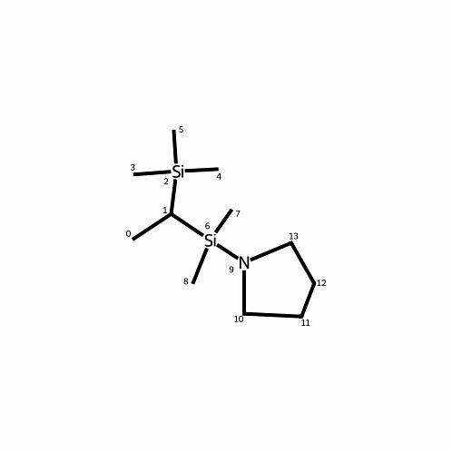 CC([Si](C)(C)C)[Si](C)(C)N1CCCC1